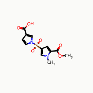 COC(=O)c1cc(S(=O)(=O)n2ccc(C(=O)O)c2)cn1C